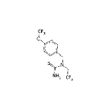 NC(=S)N(Cc1ccc(OC(F)(F)F)cc1)CC(F)(F)F